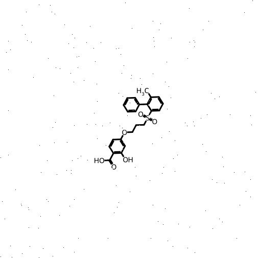 Cc1cccc(S(=O)(=O)CCCOc2ccc(C(=O)O)c(O)c2)c1-c1ccccc1